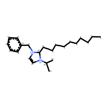 CCCCCCCCCCC1N(Cc2ccccc2)C=CN1C(C)C